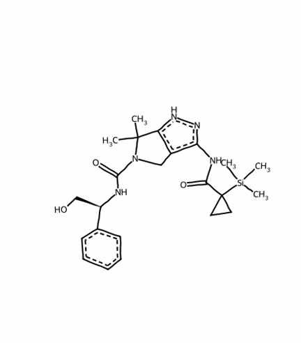 CC1(C)c2[nH]nc(NC(=O)C3([Si](C)(C)C)CC3)c2CN1C(=O)N[C@H](CO)c1ccccc1